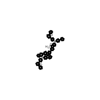 CC1(C)c2cc(-c3ccc(C4(c5ccccc5)c5ccccc5-c5ccc(N(c6ccc(-c7cccc8c7oc7ccccc78)cc6)c6cccc7ccccc67)cc54)cc3)ccc2-c2ccc(N(c3ccc(-c4ccccc4)cc3)c3ccc(-c4cccc5c4oc4ccccc45)cc3)cc21